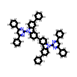 c1ccc(-c2ccc3c(c2)c2cc(-c4ccc5c(c4)c4cc(-c6ccccc6)ccc4n5-c4nc(-c5ccccc5)cc(-c5ccccc5)n4)ccc2n3-c2nc(-c3ccccc3)cc(-c3ccccc3)n2)cc1